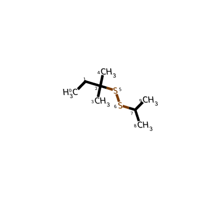 CCC(C)(C)SSC(C)C